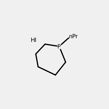 CCCP1CCCCC1.I